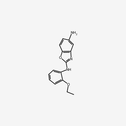 CCOc1ccccc1Nc1nc2cc(N)ccc2o1